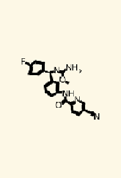 CO/C(N)=N\[C@H](c1ccc(F)cc1)c1cccc(NC(=O)c2ccc(C#N)cn2)c1